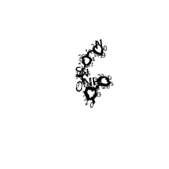 Cc1ccc(NC(=O)c2csc(C3CCC(Cc4cccnc4)CC3)n2)c(-c2ccccc2)c1